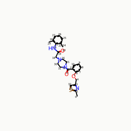 Cc1nc(COc2ccccc2C(=O)N2CCN(CC(=O)Nc3c(C)cccc3C)CC2)cs1